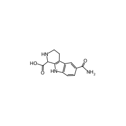 NC(=O)c1ccc2[nH]c3c(c2c1)CCNC3C(=O)O